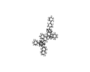 c1ccc(-c2ccc(-c3nc4cc(-c5ccc(-c6nc(-c7ccccc7)nc(-c7ccc8ccccc8c7)n6)c6ccccc56)c5oc6ccccc6c5c4s3)cc2)cc1